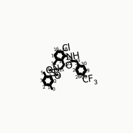 Cc1ccc(C)c(S(=O)(=O)N2CCc3c(ccc(Cl)c3NC(=O)Cc3ccc(C(F)(F)F)cc3)C2)c1